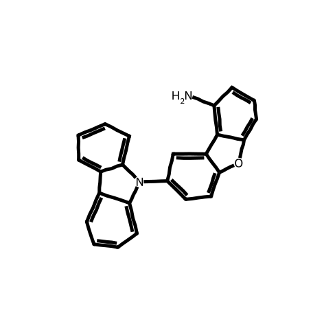 Nc1cccc2oc3ccc(-n4c5ccccc5c5ccccc54)cc3c12